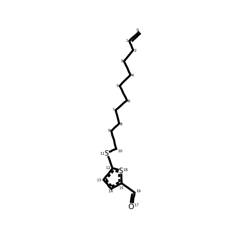 C=CCCCCCCCCCSc1ccc(C=O)s1